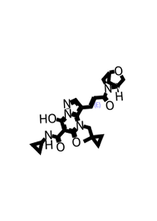 CC1(Cn2c(=O)c(C(=O)NC3CC3)c(O)n3ncc(/C=C/C(=O)N4CC5C[C@H]4CO5)c23)CC1